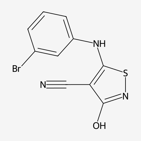 N#Cc1c(O)nsc1Nc1cccc(Br)c1